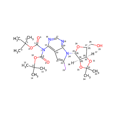 CC(C)(C)OC(=O)N(C(=O)OC(C)(C)C)c1ncnc2c1cc(I)n2[C@@H]1O[C@H](CO)[C@H]2OC(C)(C)O[C@H]21